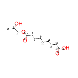 CC(O)COC(=O)CCCCCCCC(=O)O